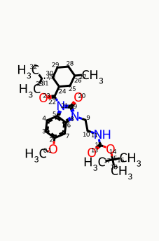 COc1ccc2c(c1)n(CCNC(=O)OC(C)(C)C)c(=O)n2C(=O)C1CC(C)CC[C@H]1C(C)C